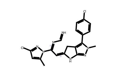 Cc1cc(Cl)nn1C(/C=C1\Cc2c(nn(C)c2-c2ccc(Cl)cc2)N1)=N/C=N